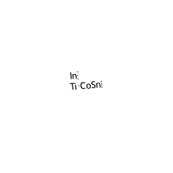 [Co].[In].[Sn].[Ti]